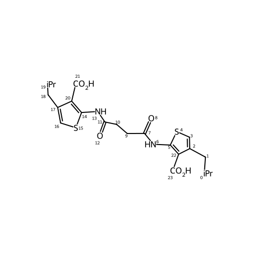 CC(C)Cc1csc(NC(=O)CCC(=O)Nc2scc(CC(C)C)c2C(=O)O)c1C(=O)O